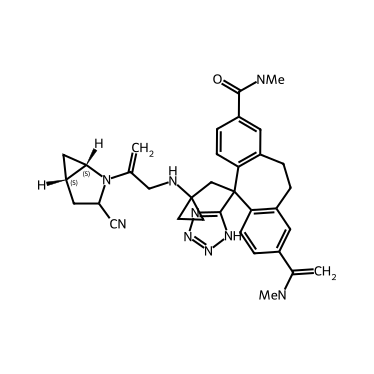 C=C(NC)c1ccc2c(c1)CCc1cc(C(=O)NC)ccc1C2(CC1(NCC(=C)N2C(C#N)C[C@@H]3C[C@@H]32)CC1)c1nnn[nH]1